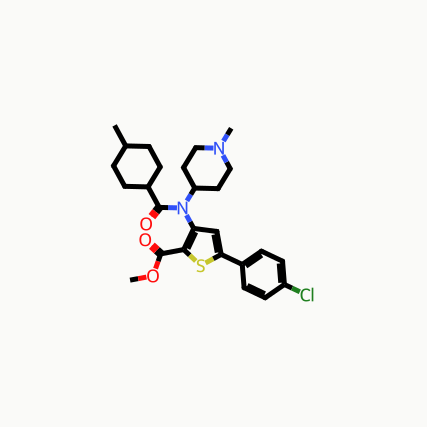 COC(=O)c1sc(-c2ccc(Cl)cc2)cc1N(C(=O)C1CCC(C)CC1)C1CCN(C)CC1